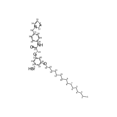 Br.CCCCCCCCCCCCCCCCOc1cccc(OCC(=O)Nc2ccc(CN3C=CSC3)cc2)c1